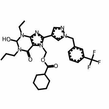 CCCN1C(=O)c2c(nc(-c3cnn(Cc4cccc(C(F)(F)F)c4)c3)n2COC(=O)C2CCCCC2)N(CC)C1O